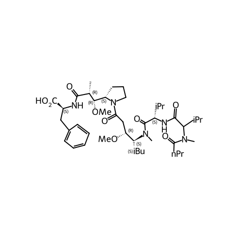 CCCC(=O)N(C)C(C(=O)N[C@H](C(=O)N(C)[C@@H]([C@@H](C)CC)[C@@H](CC(=O)N1CCC[C@H]1[C@H](OC)[C@@H](C)C(=O)N[C@@H](Cc1ccccc1)C(=O)O)OC)C(C)C)C(C)C